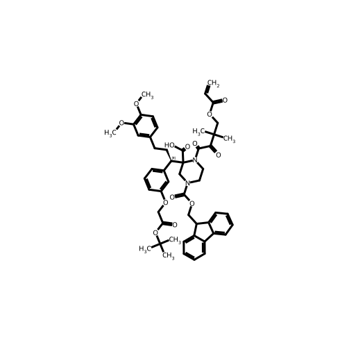 C=CC(=O)OCC(C)(C)C(=O)C(=O)N1CCN(C(=O)OCC2c3ccccc3-c3ccccc32)CC1(C(=O)O)[C@H](CCc1ccc(OC)c(OC)c1)c1cccc(OCC(=O)OC(C)(C)C)c1